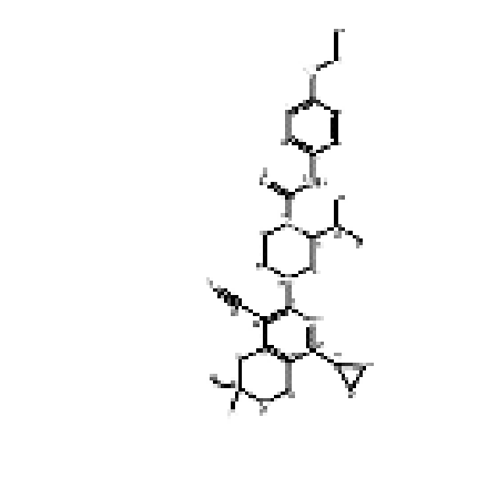 CCOc1ccc(NC(=O)N2CCN(c3nc(C4CC4)c4c(c3C#N)CC(C)(C)OC4)CC2C(C)C)cc1